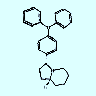 c1ccc(N(c2ccccc2)c2ccc([C@H]3CC[C@H]4CCCCN43)cc2)cc1